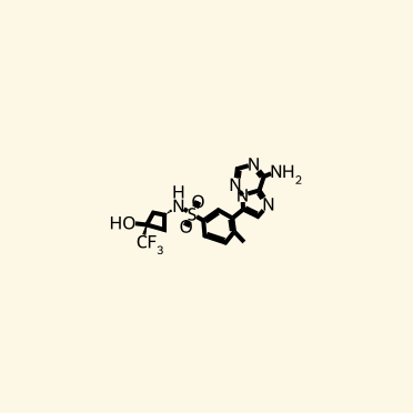 Cc1ccc(S(=O)(=O)N[C@H]2C[C@](O)(C(F)(F)F)C2)cc1-c1cnc2c(N)ncnn12